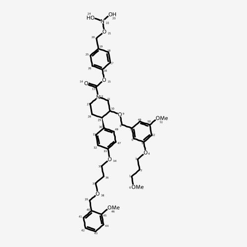 COCCCOc1cc(COC2CN(C(=O)Oc3ccc(CON(O)O)cc3)CC[C@@H]2c2ccc(OCCCOCc3ccccc3OC)cc2)cc(OC)c1